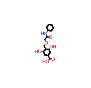 O=C(COCc1c(O)cc(C(=O)O)cc1O)Nc1ccccc1